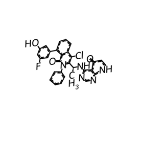 C[C@H](Nc1ncnc2[nH]ccc(=O)c12)c1c(Cl)c2cccc(-c3cc(O)cc(F)c3)c2c(=O)n1-c1ccccc1